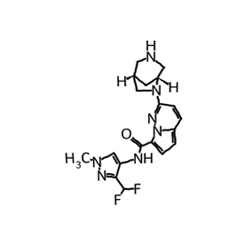 Cn1cc(NC(=O)c2ccc3ccc(N4C[C@@H]5CNC[C@H]4C5)nn23)c(C(F)F)n1